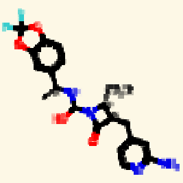 CCOC(=O)[C@@H]1[C@@H](Cc2ccnc(N)c2)C(=O)N1C(O)N[C@H](C)c1ccc2c(c1)OC(F)(F)O2